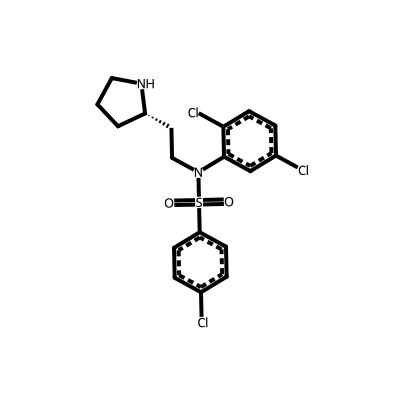 O=S(=O)(c1ccc(Cl)cc1)N(CC[C@@H]1CCCN1)c1cc(Cl)ccc1Cl